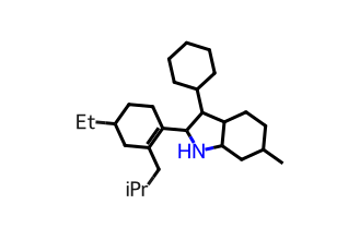 CCC1CCC(C2NC3CC(C)CCC3C2C2CCCCC2)=C(CC(C)C)C1